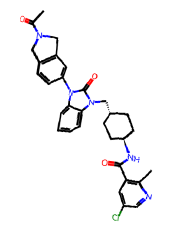 CC(=O)N1Cc2ccc(-n3c(=O)n(C[C@H]4CC[C@H](NC(=O)c5cc(Cl)cnc5C)CC4)c4ccccc43)cc2C1